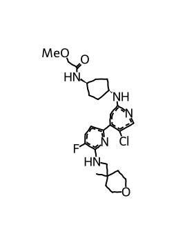 COCC(=O)N[C@H]1CC[C@H](Nc2cc(-c3ccc(F)c(NCC4(C)CCOCC4)n3)c(Cl)cn2)CC1